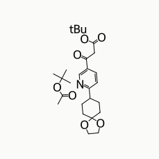 CC(=O)OC(C)(C)C.CC(C)(C)OC(=O)CC(=O)c1ccc(C2CCC3(CC2)OCCO3)nc1